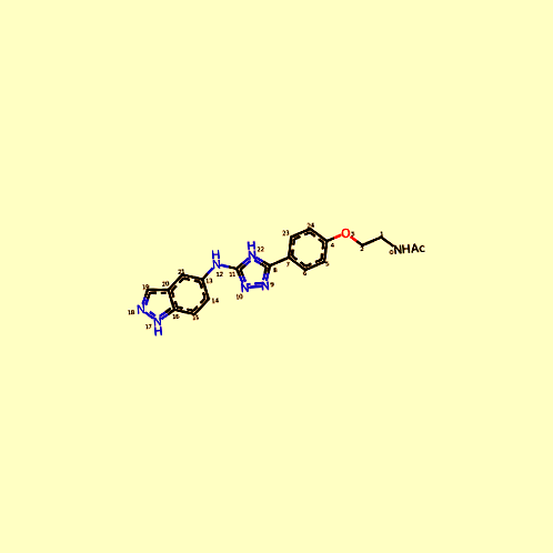 CC(=O)NCCOc1ccc(-c2nnc(Nc3ccc4[nH]ncc4c3)[nH]2)cc1